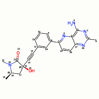 Cc1nc(N)c2nc(-c3cccc(C#C[C@]4(O)C[C@@H](C)N(C)C4=O)c3)ccc2n1